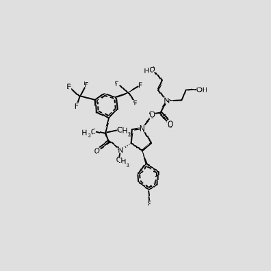 CN(C(=O)C(C)(C)c1cc(C(F)(F)F)cc(C(F)(F)F)c1)[C@@H]1CN(OC(=O)N(CCO)CCO)C[C@H]1c1ccc(F)cc1